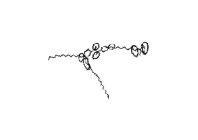 CCCCCCCCCCCCOc1ccc(C(=O)C(=O)c2ccc(OCCCCCCOCC3(C)COC3)cc2)cc1OCCCCCCCCCCCC